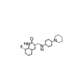 O=c1[nH]c2c(F)cccc2cc1CNc1ccc(N2CCCCC2)cc1